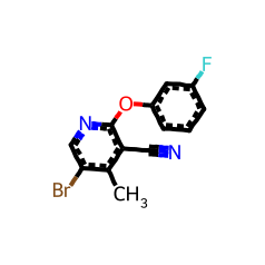 Cc1c(Br)cnc(Oc2cccc(F)c2)c1C#N